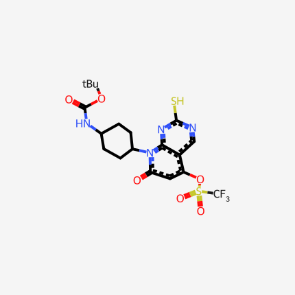 CC(C)(C)OC(=O)NC1CCC(n2c(=O)cc(OS(=O)(=O)C(F)(F)F)c3cnc(S)nc32)CC1